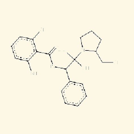 Bc1cccc(C)c1C(=O)NC(c1ccccc1)C(C)(C)N1CCCC1CC